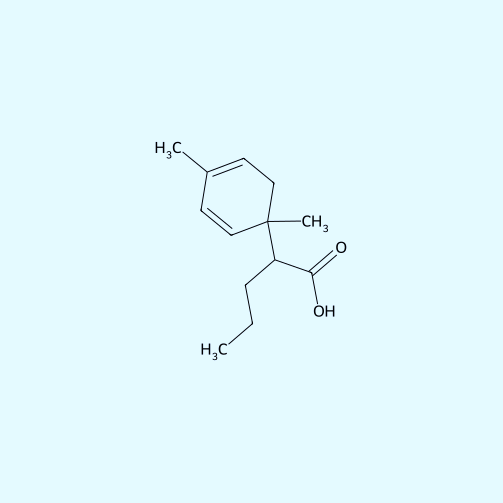 CCCC(C(=O)O)C1(C)C=CC(C)=CC1